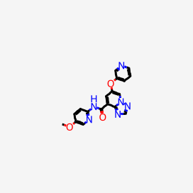 COc1ccc(NC(=O)c2cc(Oc3cccnc3)cn3ncnc23)nc1